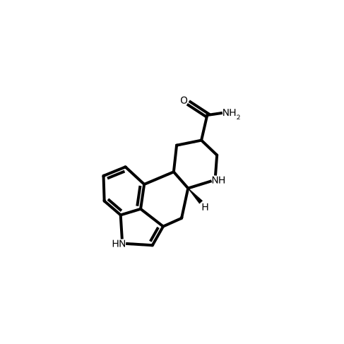 NC(=O)C1CN[C@@H]2Cc3c[nH]c4cccc(c34)C2C1